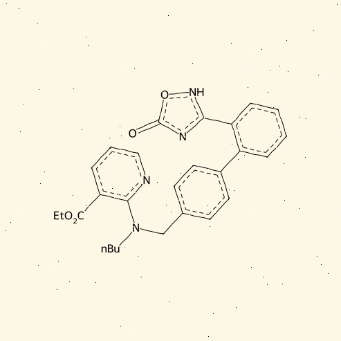 CCCCN(Cc1ccc(-c2ccccc2-c2nc(=O)o[nH]2)cc1)c1ncccc1C(=O)OCC